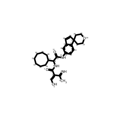 CC(=N)/C(=C\O)C(=O)NC(C(=O)Nc1ccc2c(c1)C=CC21CCOCC1)C1CCCCCCC1